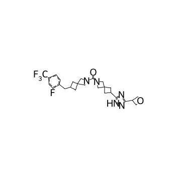 O=C(N1CC2(CC(Cc3ccc(C(F)(F)F)cc3F)C2)C1)N1CC2(CC(c3nc(C4COC4)n[nH]3)C2)C1